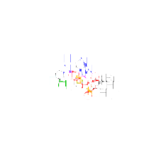 CC(C)(C)[Si](C)(C)OC(COS(C)(=O)=O)c1nc2nccc(C(=O)Nc3ccc(F)c(Cl)c3)c2n1S(C)(=O)=O